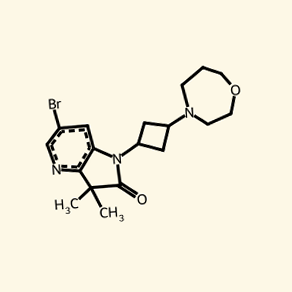 CC1(C)C(=O)N(C2CC(N3CCCOCC3)C2)c2cc(Br)cnc21